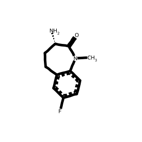 CN1C(=O)[C@@H](N)CCc2cc(F)ccc21